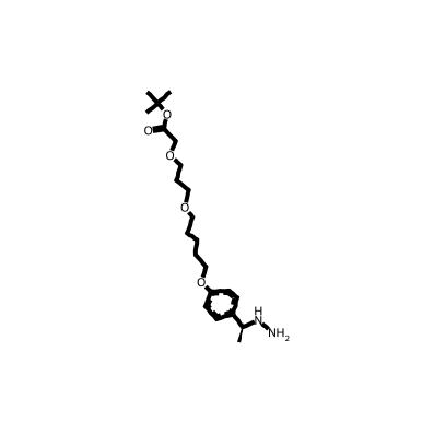 C[C@H](NN)c1ccc(OCCCCCOCCCOCC(=O)OC(C)(C)C)cc1